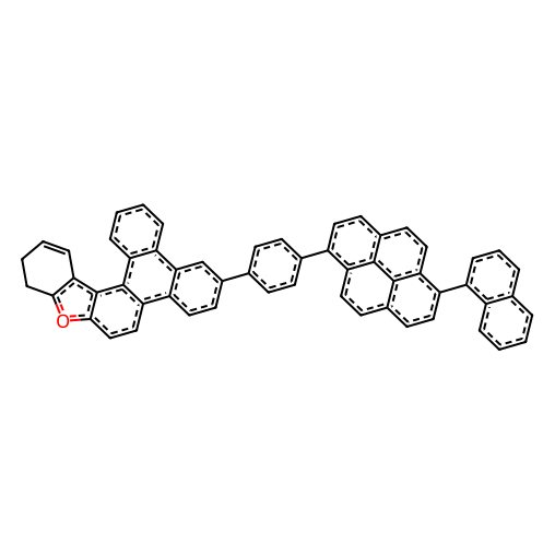 C1=Cc2c(oc3ccc4c5ccc(-c6ccc(-c7ccc8ccc9c(-c%10cccc%11ccccc%10%11)ccc%10ccc7c8c%109)cc6)cc5c5ccccc5c4c23)CC1